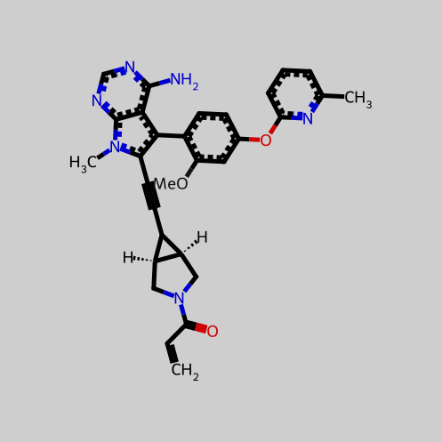 C=CC(=O)N1C[C@@H]2C(C#Cc3c(-c4ccc(Oc5cccc(C)n5)cc4OC)c4c(N)ncnc4n3C)[C@@H]2C1